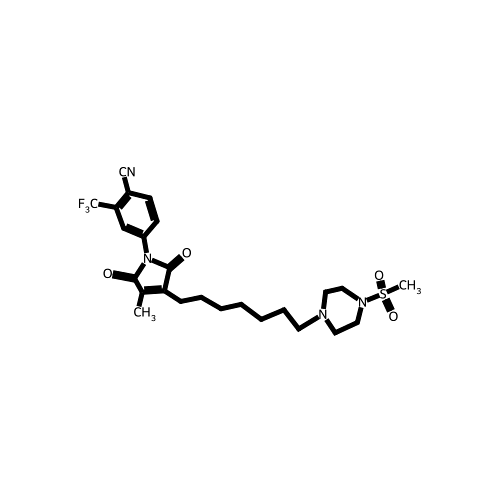 CC1=C(CCCCCCCN2CCN(S(C)(=O)=O)CC2)C(=O)N(c2ccc(C#N)c(C(F)(F)F)c2)C1=O